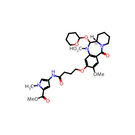 COC(=O)c1cc(NC(=O)CCCOc2cc3c(cc2OC)C(=O)N2CCCC[C@H]2C(OC2CCCCO2)N3C(=O)O)cn1C